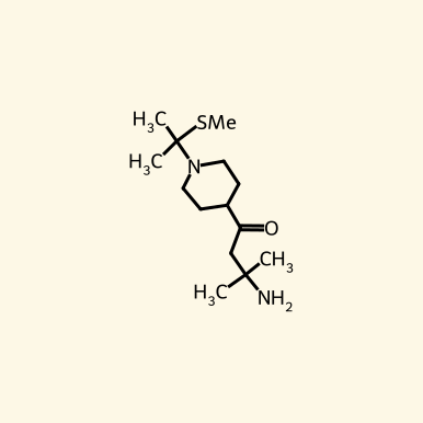 CSC(C)(C)N1CCC(C(=O)CC(C)(C)N)CC1